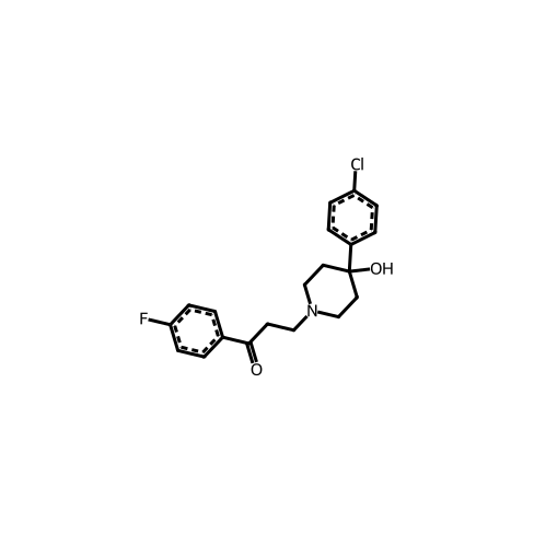 O=C(CCN1CCC(O)(c2ccc(Cl)cc2)CC1)c1ccc(F)cc1